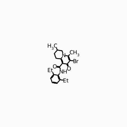 CCc1cccc(CC)c1NC(=O)c1c2n(c(C)c(Br)c1=O)CC(C)CC2